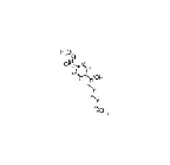 CCCCCCC(O)c1ccc(C(=O)OC)cc1